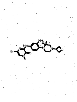 Cn1cc(Br)nc(Nc2ccc(N3CCN(C4COC4)CC3(C)C)c(N)c2)c1=O